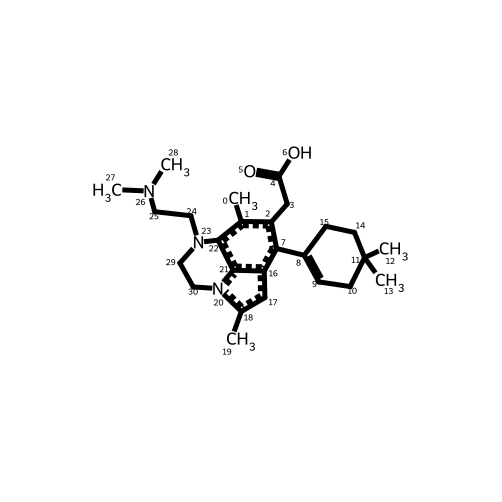 Cc1c(CC(=O)O)c(C2=CCC(C)(C)CC2)c2cc(C)n3c2c1N(CCN(C)C)CC3